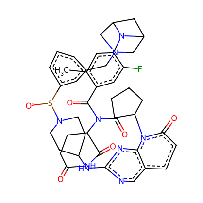 Cc1cc(N2C3CC2CN(Cc2cccc([S+]([O-])N4CCC(Nc5ncc6ccc(=O)n(C7CCCC7)c6n5)CC4)c2)C3)c(F)cc1C(=O)N(C=O)C1CCC(=O)NC1=O